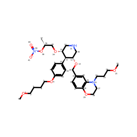 COCCCCOc1ccc([C@@H]2[C@@H](OCc3ccc4c(c3)N(CCCOC)CCO4)CNC[C@H]2OC[C@@H](C)O[N+](=O)[O-])cc1